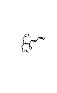 CCN(CC)C(=O)C=C[C]=O